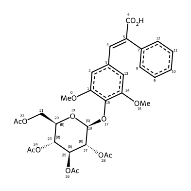 COc1cc(C=C(C(=O)O)c2ccccc2)cc(OC)c1O[C@@H]1O[C@H](COC(C)=O)[C@@H](OC(C)=O)[C@H](OC(C)=O)[C@H]1OC(C)=O